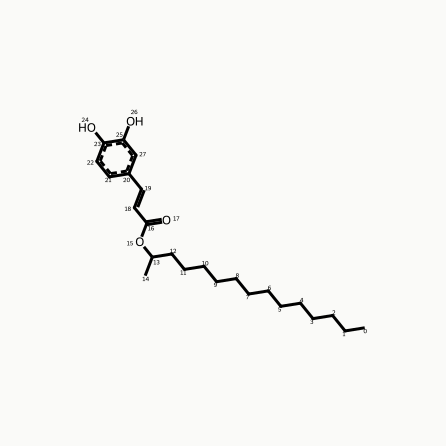 CCCCCCCCCCCCCC(C)OC(=O)C=Cc1ccc(O)c(O)c1